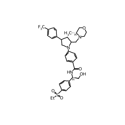 CCS(=O)(=O)c1ccc([C@H](CO)NC(=O)c2ccc(N3CC(c4ccc(C(F)(F)F)cc4)CC3CN3CCOC[C@H]3C)cc2)cc1